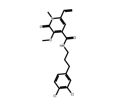 C=Cc1cc(C(=O)NCCCc2ccc(Cl)c(Cl)c2)c(OC)c(=O)n1C